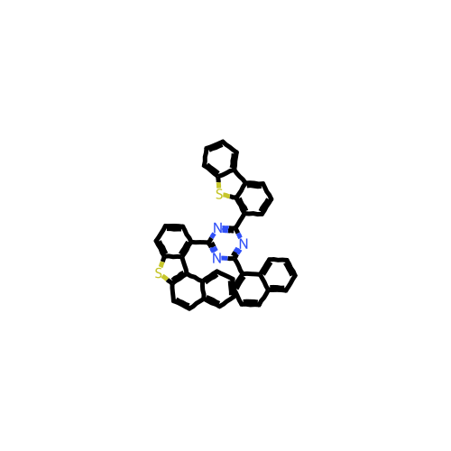 c1ccc2c(-c3nc(-c4cccc5c4sc4ccccc45)nc(-c4cccc5sc6ccc7ccccc7c6c45)n3)cccc2c1